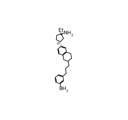 Bc1cccc(CCCC2CCc3cc([C@@H]4CC[C@](N)(CC)C4)ccc3C2)c1